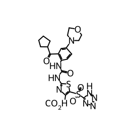 O=C(Nc1nc(C(=O)O)c(S(=O)(=O)c2nnn[nH]2)s1)Nc1ccc(N2CCOCC2)cc1C(=O)C1CCCC1